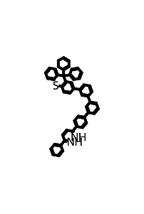 N=C(/C=C\C(=N)c1ccc(-c2cccc(-c3cccc(-c4ccc5c(c4)C(C4=CC=CCC4)(c4ccccc4)c4ccccc4S5)c3)c2)cc1)c1ccccc1